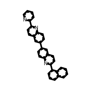 c1ccc(-c2ccc3cc(-c4ccc5nc(-c6cccc7ccccc67)ccc5c4)ccc3n2)nc1